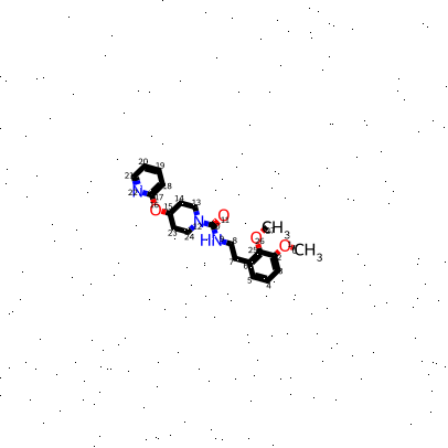 COc1cccc(CCNC(=O)N2CCC(Oc3ccccn3)CC2)c1OC